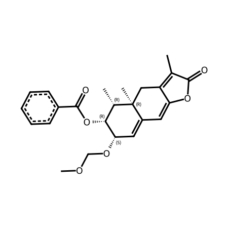 COCO[C@H]1C=C2C=C3OC(=O)C(C)=C3C[C@]2(C)[C@@H](C)[C@H]1OC(=O)c1ccccc1